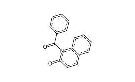 O=C(c1ccccc1)n1c(=O)ccc2ccccc21